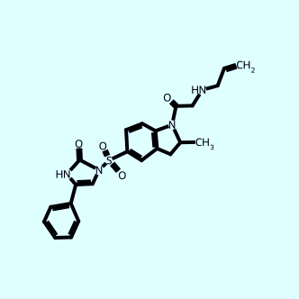 C=CCNCC(=O)N1c2ccc(S(=O)(=O)n3cc(-c4ccccc4)[nH]c3=O)cc2CC1C